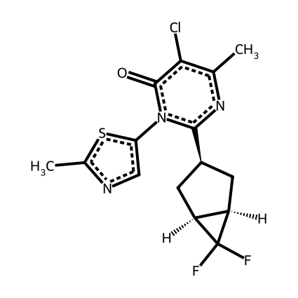 Cc1ncc(-n2c([C@H]3C[C@@H]4[C@H](C3)C4(F)F)nc(C)c(Cl)c2=O)s1